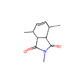 CC1C=CC(C)C2C(=O)N(C)C(=O)C12